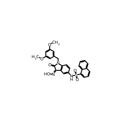 COc1cc(CN2C(=O)/C(=N\O)c3cc(NS(=O)(=O)c4cccc5ccccc45)ccc32)cc(OC)c1